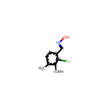 COc1c(C)ccc(/C=N/O)c1F